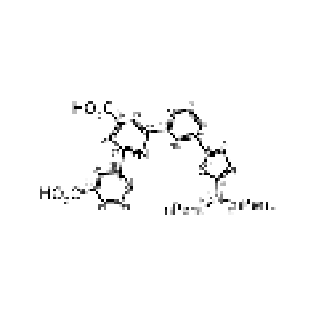 CCCCCN(CCCCC)c1ccc(-c2ccnc(-c3cc(C(=O)O)cc(-c4cc(C(=O)O)ccn4)n3)c2)s1